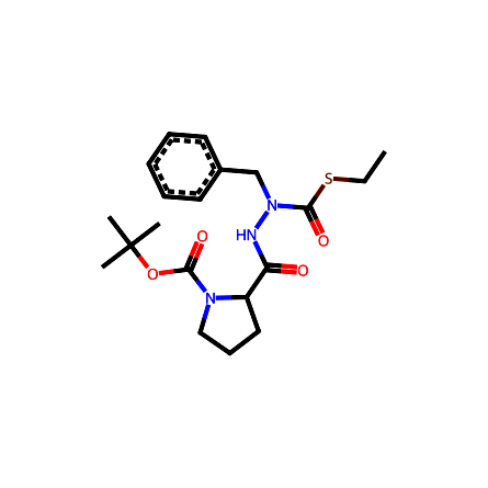 CCSC(=O)N(Cc1ccccc1)NC(=O)C1CCCN1C(=O)OC(C)(C)C